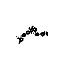 CCC(C)Oc1ccc(Oc2ccc(Oc3cccc(C(CC)C(CC)Sc4ccc(-c5ccc(Sc6ccc7c(c6C#N)C7C)cc5)cc4)c3C#N)cc2)cc1